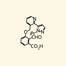 CC(C)n1nccc1-c1ncccc1COc1cccc(C(=O)O)c1C=O